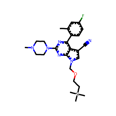 Cc1cc(F)ccc1-c1nc(N2CCN(C)CC2)nc2c1c(C#N)cn2COCC[Si](C)(C)C